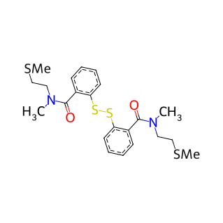 CSCCN(C)C(=O)c1ccccc1SSc1ccccc1C(=O)N(C)CCSC